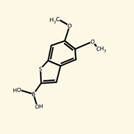 COc1cc2cc(B(O)O)sc2cc1OC